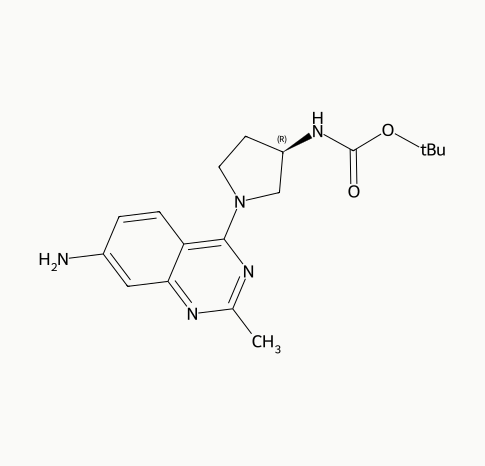 Cc1nc(N2CC[C@@H](NC(=O)OC(C)(C)C)C2)c2ccc(N)cc2n1